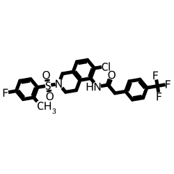 Cc1cc(F)ccc1S(=O)(=O)N1CCc2c(ccc(Cl)c2NC(=O)Cc2ccc(C(F)(F)F)cc2)C1